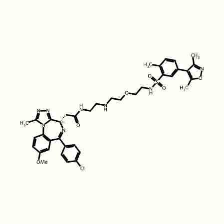 COc1ccc2c(c1)C(c1ccc(Cl)cc1)=N[C@@H](CC(=O)NCCNCCOCCNS(=O)(=O)c1cc(-c3c(C)noc3C)ccc1C)c1nnc(C)n1-2